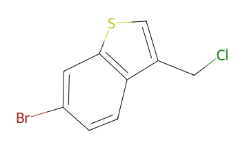 ClCc1csc2cc(Br)ccc12